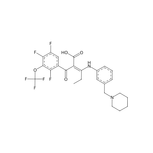 CCC(Nc1cccc(CN2CCCCC2)c1)=C(C(=O)O)C(=O)c1cc(F)c(F)c(OC(F)(F)F)c1F